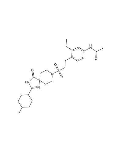 CCc1cc(NC(C)=O)ccc1CCS(=O)(=O)N1CCC2(CC1)N=C(C1CCC(C)CC1)NC2=O